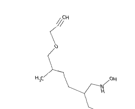 C#CCOCC(C)CCC(CC)CNO